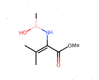 COC(=O)C(NB(C)O)=C(C)C